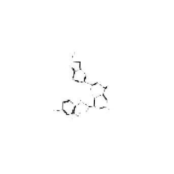 Cc1cc(C(C)Nc2ccc(F)cc2C(=O)O)c2oc(-c3ccc4nn(C)cc4c3)cc(=O)c2c1